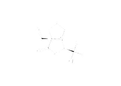 O=C[C@@]12CCCN1[C@@H](C(Cl)(Cl)Cl)OC2=O